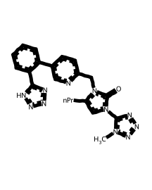 CCCc1cn(-c2nnnn2C)c(=O)n1Cc1ccc(-c2ccccc2-c2nnn[nH]2)cn1